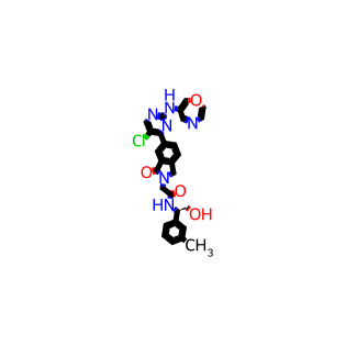 Cc1cccc([C@@H](CO)NC(=O)CN2Cc3ccc(-c4nc(NC5=COC=CN=C5)ncc4Cl)cc3C2=O)c1